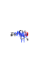 Cc1nn(C2CCN(C(C)C)CC2)cc1Nc1ncc(C(F)(F)F)c(NCCCN2CCCCC2=O)n1